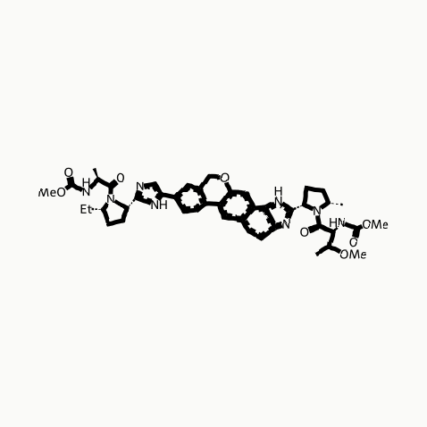 CC[C@H]1CC[C@@H](c2ncc(-c3ccc4c(c3)COc3cc5c(ccc6nc([C@@H]7CC[C@H](C)N7C(=O)[C@@H](NC(=O)OC)C(C)OC)[nH]c65)cc3-4)[nH]2)N1C(=O)[C@H](C)NC(=O)OC